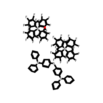 Fc1c(F)c(F)c([B-](c2c(F)c(F)c(F)c(F)c2F)(c2c(F)c(F)c(F)c(F)c2F)c2c(F)c(F)c(F)c(F)c2F)c(F)c1F.Fc1c(F)c(F)c([B-](c2c(F)c(F)c(F)c(F)c2F)(c2c(F)c(F)c(F)c(F)c2F)c2c(F)c(F)c(F)c(F)c2F)c(F)c1F.c1ccc([S+](c2ccccc2)c2ccc(Sc3ccc([S+](c4ccccc4)c4ccccc4)cc3)cc2)cc1